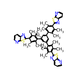 Cc1c(C)c(-c2nc3cccnc3s2)c(C)c(C)c1-c1cc(-c2c(C)c(C)c(-c3nc4cccnc4s3)c(C)c2C)cc(-c2c(C)c(C)c(-c3nc4cccnc4s3)c(C)c2C)c1